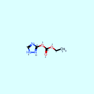 CCOC(=O)Oc1nc[nH]n1